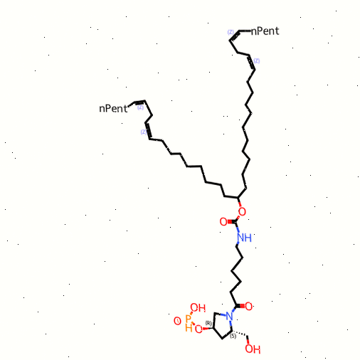 CCCCC/C=C\C/C=C\CCCCCCCCCCC(CCCCCCCC/C=C\C/C=C\CCCCC)OC(=O)NCCCCCC(=O)N1C[C@H](O[PH](=O)O)C[C@H]1CO